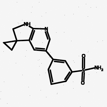 NS(=O)(=O)c1cccc(-c2cnc3c(c2)C2(CC2)CN3)c1